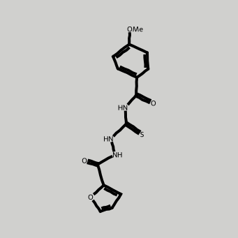 COc1ccc(C(=O)NC(=S)NNC(=O)c2ccco2)cc1